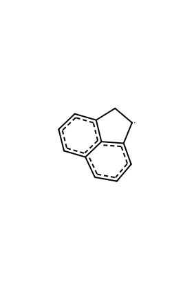 [CH]1Cc2cccc3cccc1c23